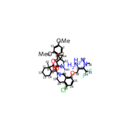 COc1ccc(COC(=O)[C@@]2(C)CCCC[C@H]2C(=O)N2CCc3c(Cl)ccc(OC/C(N)=C(\C(F)F)N(C)N)c3[C@H]2CN2CC3(CC3)CC2=O)c(OC)c1